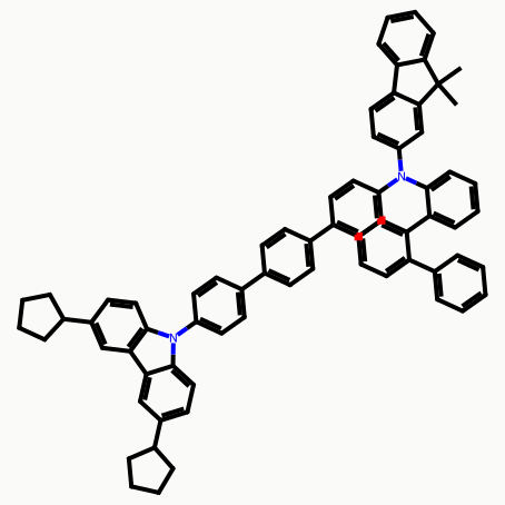 CC1(C)c2ccccc2-c2ccc(N(c3ccc(-c4ccc(-c5ccc(-n6c7ccc(C8CCCC8)cc7c7cc(C8CCCC8)ccc76)cc5)cc4)cc3)c3ccccc3-c3ccccc3-c3ccccc3)cc21